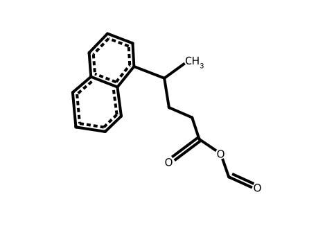 CC(CCC(=O)OC=O)c1cccc2ccccc12